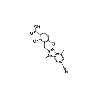 Cc1cc(C#N)cc2c1nc(Cc1c(Cl)ccc(C(=O)O)c1Cl)n2C